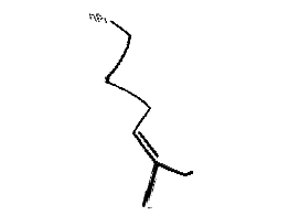 [CH2]C(C)=CCCCCCC